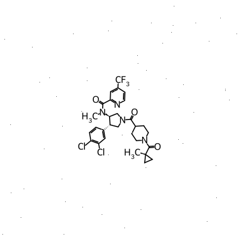 CN(C(=O)c1cc(C(F)(F)F)ccn1)[C@H]1CN(C(=O)C2CCN(C(=O)C3(C)CC3)CC2)C[C@@H]1c1ccc(Cl)c(Cl)c1